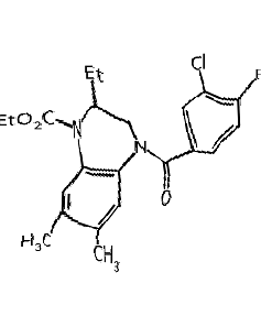 CCOC(=O)N1c2cc(C)c(C)cc2N(C(=O)c2ccc(F)c(Cl)c2)CC1CC